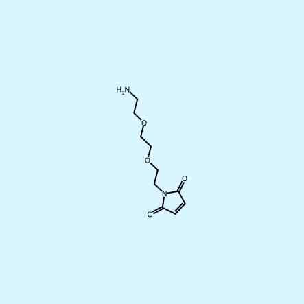 NCCOCCOCCN1C(=O)C=CC1=O